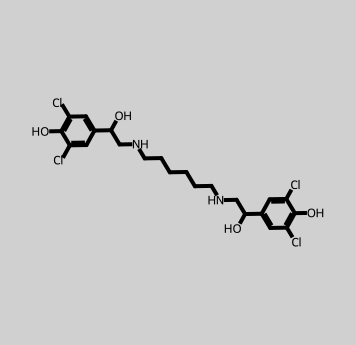 Oc1c(Cl)cc(C(O)CNCCCCCCNCC(O)c2cc(Cl)c(O)c(Cl)c2)cc1Cl